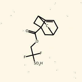 O=C(OCC(F)(F)S(=O)(=O)O)C12CC3CC=C1C(C3)C2